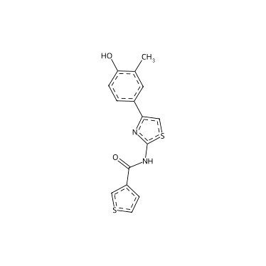 Cc1cc(-c2csc(NC(=O)c3ccsc3)n2)ccc1O